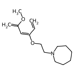 C=C/C(=C\C(=C)OC)OCCN1CCCCCC1